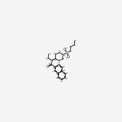 CCCCS(=O)(=O)N1CCC(N(CC)C(=O)c2cc3ccccc3cn2)CC1